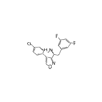 N[C@@H](Cc1cc(F)cc(F)c1)c1nocc1-c1ccc(Cl)cc1